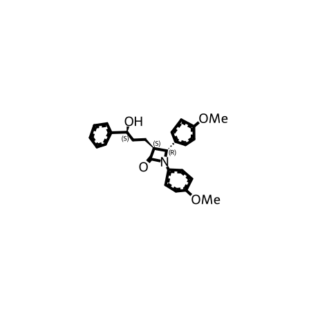 COc1ccc([C@H]2[C@H](CC[C@H](O)c3ccccc3)C(=O)N2c2ccc(OC)cc2)cc1